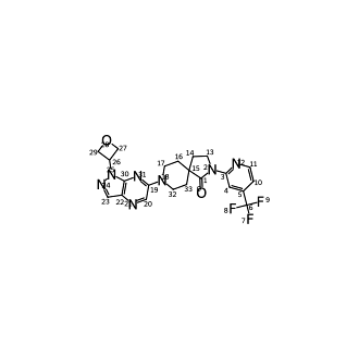 O=C1N(c2cc(C(F)(F)F)ccn2)CCC12CCN(c1cnc3cnn(C4COC4)c3n1)CC2